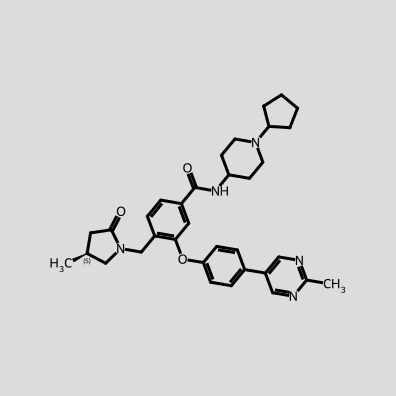 Cc1ncc(-c2ccc(Oc3cc(C(=O)NC4CCN(C5CCCC5)CC4)ccc3CN3C[C@@H](C)CC3=O)cc2)cn1